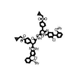 CC(C)Oc1ccccc1-c1cc2nc(C(CC(=O)NOC(=O)CC(c3ccc(S(=O)(=O)CC4CC4)cc3)c3nc4cc(-c5ccccc5OC(C)C)c(Cl)cc4[nH]3)c3ccc(S(=O)(=O)CC4CC4)cc3)[nH]c2cc1Cl